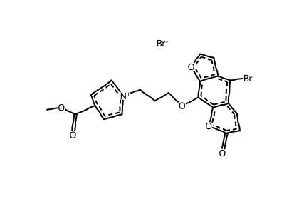 COC(=O)c1cc[n+](CCCOc2c3occc3c(Br)c3ccc(=O)oc23)cc1.[Br-]